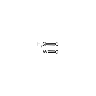 O=[SiH2].[O]=[W]